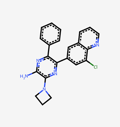 Nc1nc(-c2ccccc2)c(-c2cc(Cl)c3ncccc3c2)nc1N1CCC1